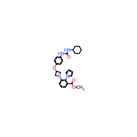 COC(=O)c1cccc(N2CC(Oc3ccc(NC(=O)NC4CCCCC4)cc3)C2)c1-n1cccc1